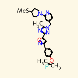 CSC1CCN(c2cc(Cn3nc(-c4cc(-c5ccc(OC(C)(C)F)cc5)no4)nc3C)ccn2)CC1